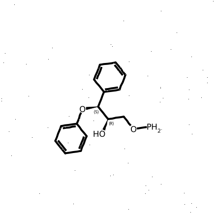 O[C@H](COP)[C@@H](Oc1ccccc1)c1ccccc1